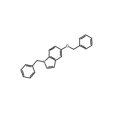 c1ccc(COc2ccc3c(ccn3Cc3ccccc3)c2)cc1